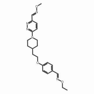 CCON=Cc1ccc(OCCC2CCN(c3ccc(C=NOC)nn3)CC2)cc1